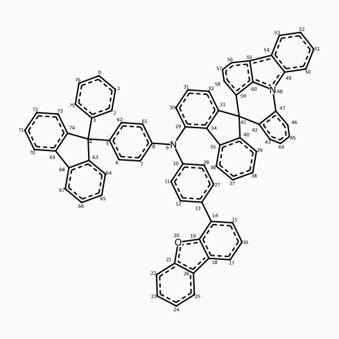 c1ccc(C2(c3ccc(N(c4ccc(-c5cccc6c5oc5ccccc56)cc4)c4cccc5c4-c4ccccc4C54c5ccccc5-n5c6ccccc6c6cccc4c65)cc3)c3ccccc3-c3ccccc32)cc1